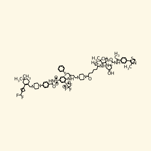 Cc1ncsc1-c1ccc([C@H](C)NC(=O)[C@@H]2C[C@@H](O)CN2C(=O)[C@@H](NC(=O)CCCCC(=O)N2CCN(CC[C@H](CSc3ccccc3)Nc3ccc(S(=O)(=O)NC(=O)c4ccc(N5CCN(CC6=C(C78CC(C(F)F)(C7)C8)CC(C)(C)CC6)CC5)cc4)cc3S(=O)(=O)C(F)(F)F)CC2)C(C)(C)C)cc1